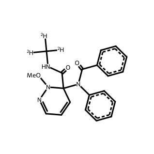 [2H]C([2H])([2H])NC(=O)C1(N(C(=O)c2ccccc2)c2ccccc2)C=CC=NN1OC